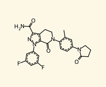 Cc1cc(N2CCCC2=O)ccc1N1CCc2c(C(N)=O)nn(-c3cc(F)cc(F)c3)c2C1=O